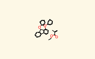 C=C(C)C(=O)OCC.c1ccc(Oc2cccc3c2C(Oc2ccccc2)c2ccccc2-3)cc1